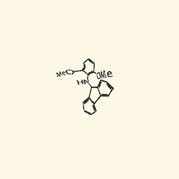 COc1cccc(OC)c1NC1c2ccccc2-c2ccccc21